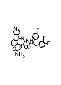 NC(=O)CN1C(=O)C(NC(=O)[C@H](Cc2ccc(F)c(F)c2)c2ccc(F)cc2)N=C(c2ccncc2)c2ccccc21